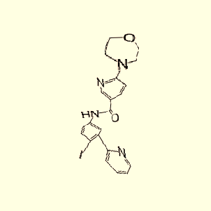 O=C(Nc1ccc(I)c(-c2ccccn2)c1)c1ccc(N2CCOCC2)nc1